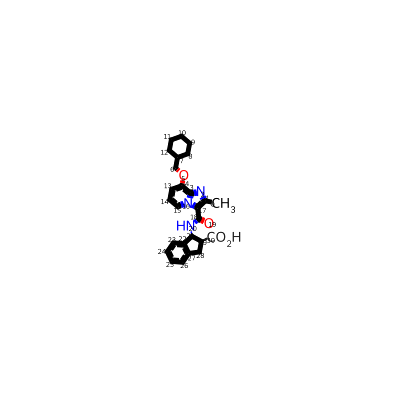 Cc1nc2c(OCC3CCCCC3)cccn2c1C(=O)N[C@H]1c2ccccc2C[C@@H]1C(=O)O